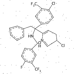 OC(NC(Cc1ccccc1)(C1=CCC(Cl)C=N1)c1ccc(Cl)c(C(F)(F)F)c1)c1ccc(F)c(C(F)(F)F)c1